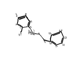 Ic1ccccc1NCCc1ccccc1